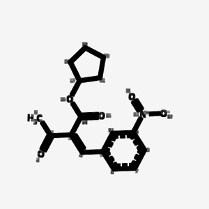 CC(=O)C(=Cc1cccc([N+](=O)[O-])c1)C(=O)OC1CCCC1